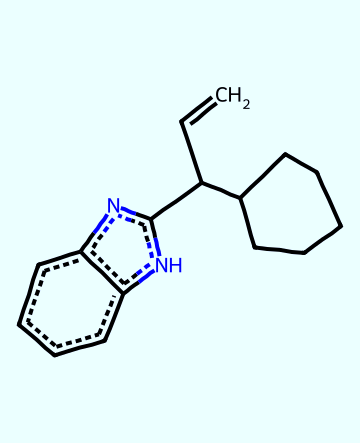 C=CC(c1nc2ccccc2[nH]1)C1CCCCC1